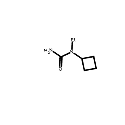 CCN(C(N)=O)C1CCC1